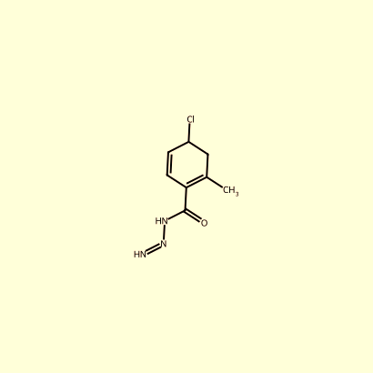 CC1=C(C(=O)NN=N)C=CC(Cl)C1